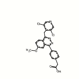 COc1ccc2c(Cc3c(Cl)cncc3Cl)nnc(-c3ccc(CC(=O)O)cc3)c2c1